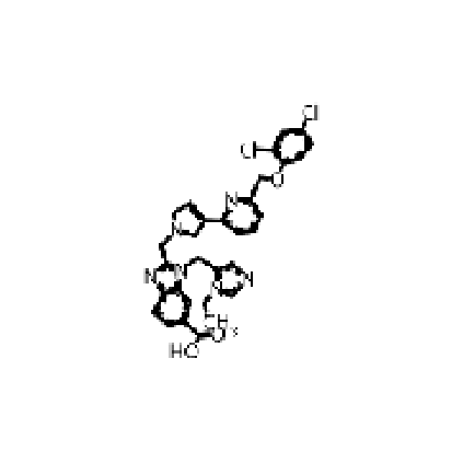 CCn1cncc1Cn1c(CN2CC=C(c3cccc(COc4ccc(Cl)cc4Cl)n3)C2)nc2ccc(C(=O)O)cc21